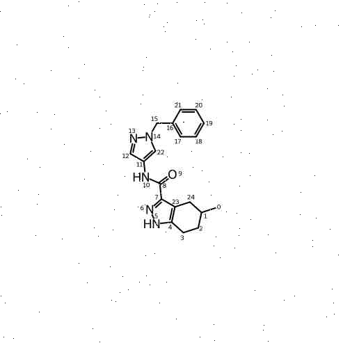 CC1CCc2[nH]nc(C(=O)Nc3cnn(Cc4ccccc4)c3)c2C1